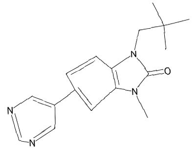 Cn1c(=O)n(CC(C)(C)C)c2ccc(-c3cncnc3)cc21